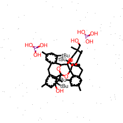 Cc1cc2c(c(C(C)(C)C)c1)C1OC(C(C)(C)CO)(OC3(c4c(cc(C)cc4C(C)(C)C)Cc4cc(C)cc(C(C)(C)C)c43)C13COC(C(C)(C)CO)OC3)c1c(cc(C)cc1C(C)(C)C)C2.OP(O)O.OP(O)O